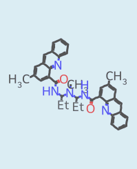 CCC(NC(=O)c1cc(C)cc2cc3ccccc3nc12)N(C)C(CC)NC(=O)c1cc(C)cc2cc3ccccc3nc12